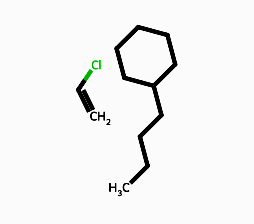 C=CCl.CCCCC1CCCCC1